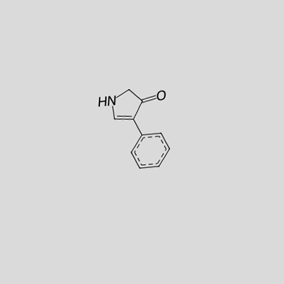 O=C1CNC=C1c1ccccc1